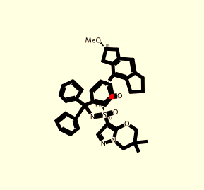 CO[C@@H]1Cc2cc3c(c(NC(=O)N[S@@](=O)(=NC(c4ccccc4)(c4ccccc4)c4ccccc4)c4cnn5c4OCC(C)(C)C5)c2C1)CCC3